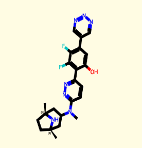 CN(c1ccc(-c2c(O)cc(-c3cnnnc3)c(F)c2F)nn1)C1C[C@]2(C)CC[C@](C)(C1)N2